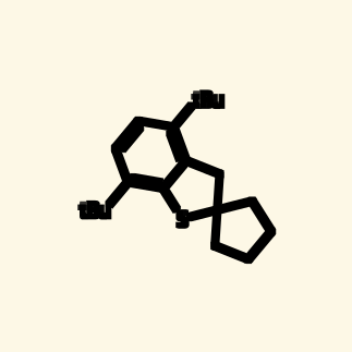 CC(C)(C)c1ccc(C(C)(C)C)c2c1CC1(CCCC1)S2